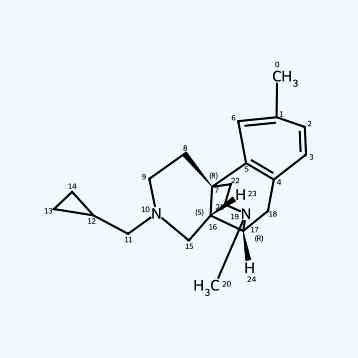 Cc1ccc2c(c1)[C@@]13CCN(CC4CC4)C[C@H]1[C@@H](C2)N(C)CC3